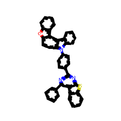 c1ccc(-c2nc(-c3ccc(-n4c5ccccc5c5c6c(ccc54)oc4ccccc46)cc3)nc3sc4ccccc4c23)cc1